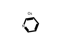 [Os].c1ccncc1